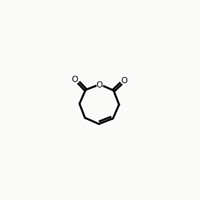 O=C1C/C=C\CCC(=O)O1